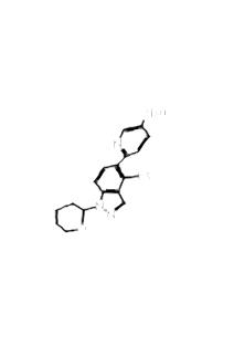 CCc1c(-c2ccc(C(C)(C)C)cn2)ccc2c1cnn2C1CCCCO1